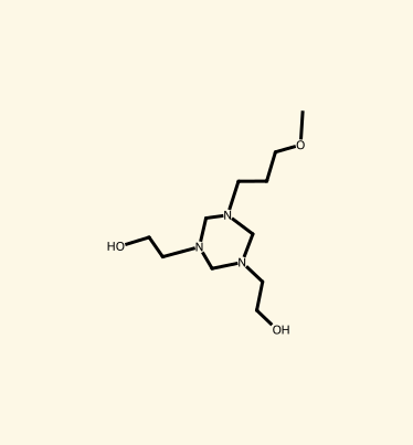 COCCCN1CN(CCO)CN(CCO)C1